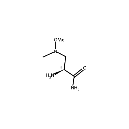 CON(C)C[C@H](N)C(N)=O